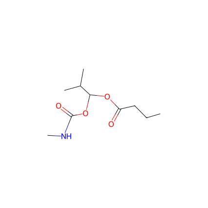 CCCC(=O)OC(OC(=O)NC)C(C)C